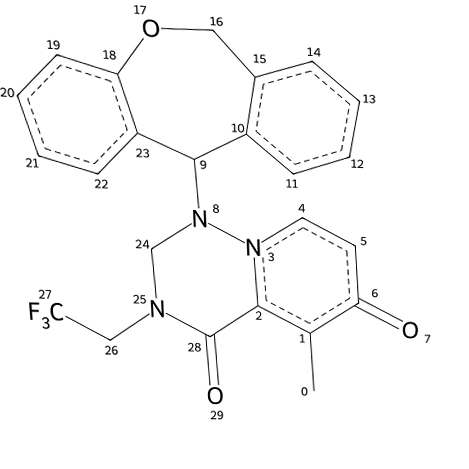 Cc1c2n(ccc1=O)N(C1c3ccccc3COc3ccccc31)CN(CC(F)(F)F)C2=O